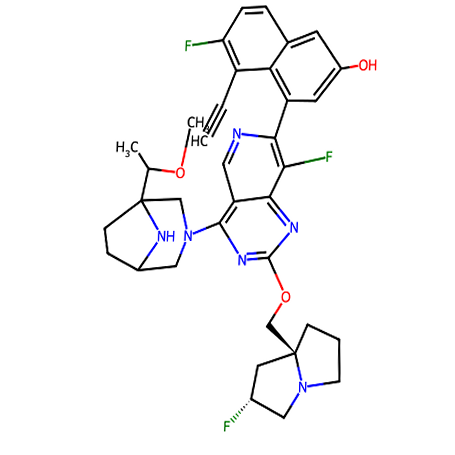 C#Cc1c(F)ccc2cc(O)cc(-c3ncc4c(N5CC6CCC(C(C)OC)(C5)N6)nc(OC[C@@]56CCCN5C[C@H](F)C6)nc4c3F)c12